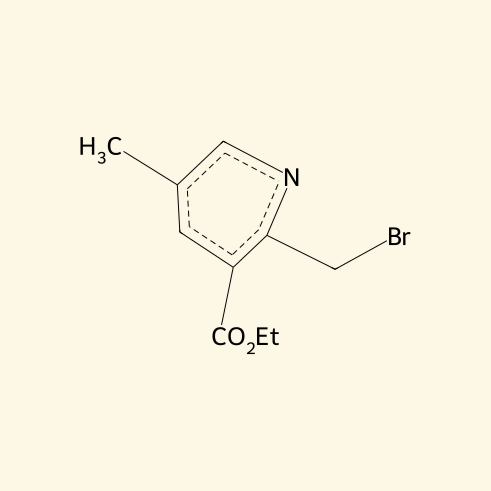 CCOC(=O)c1cc(C)cnc1CBr